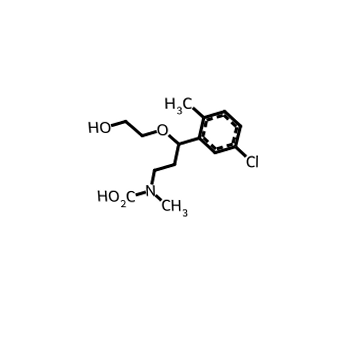 Cc1ccc(Cl)cc1C(CCN(C)C(=O)O)OCCO